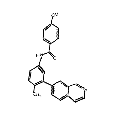 Cc1ccc(NC(=O)c2ccc(C#N)cc2)cc1-c1ccc2ccncc2c1